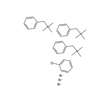 C[N+](C)(C)Cc1ccccc1.C[N+](C)(C)Cc1ccccc1.C[N+](C)(C)Cc1ccccc1.Clc1ccccc1.[Br-].[Br-].[Br-]